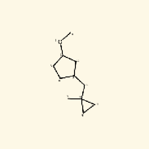 COC1CCC(CC2(C)CC2)C1